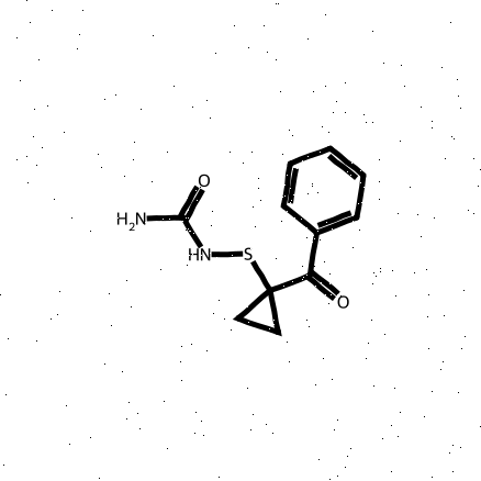 NC(=O)NSC1(C(=O)c2ccccc2)CC1